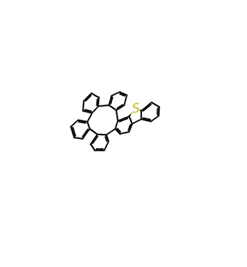 c1ccc2c(c1)sc1c2ccc2c3ccccc3c3ccccc3c3ccccc3c3ccccc3c21